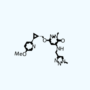 COc1ccc([C@H]2C[C@@H]2COc2cc(NCc3cn(C)nn3)c(=O)n(C)n2)nc1